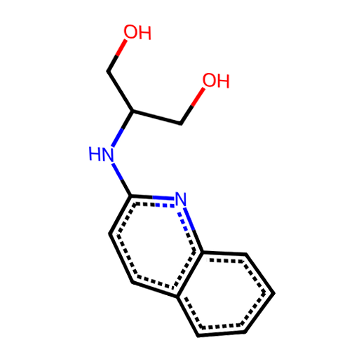 OCC(CO)Nc1ccc2ccccc2n1